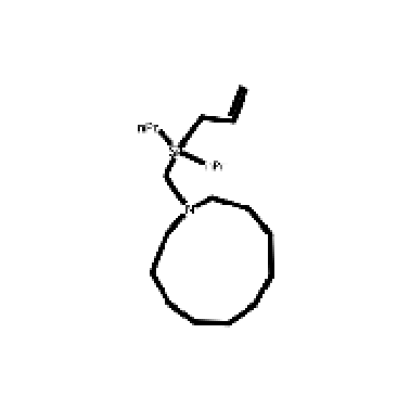 C=CC[Si](CCC)(CCC)CN1CCCCCCCCCC1